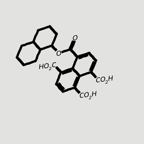 O=C(O)c1ccc(C(=O)O)c2c(C(=O)OC3CCCC4CCCCC43)ccc(C(=O)O)c12